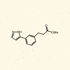 COC(=O)CCc1cccc(-c2ccn[nH]2)c1